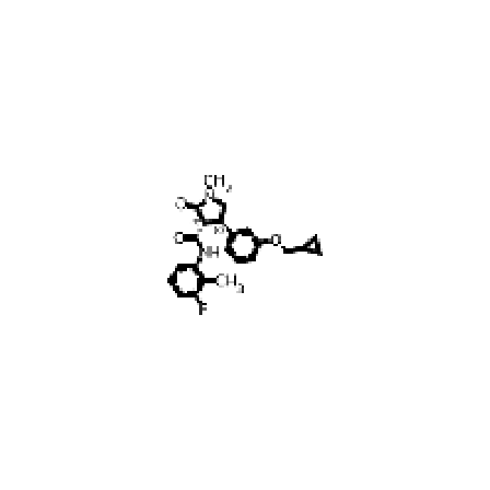 Cc1c(F)cccc1NC(=O)[C@@H]1C(=O)N(C)C[C@H]1c1cccc(OCC2CC2)c1